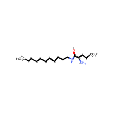 NC(CCC(=O)O)C(=O)NCCCCCCCCCCC(=O)O